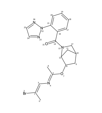 C/C(Br)=C\N=C(/C)OC1CC2CC1N(C(=O)c1ccccc1-n1nccn1)C2